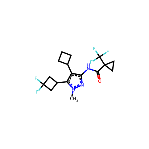 Cn1nc(NC(=O)C2(C(F)(F)F)CC2)c(C2CCC2)c1C1CC(F)(F)C1